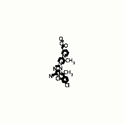 C[C@@H]1CN(c2cnc3c(C#N)nn([C@H](C)c4ccc(Cl)cc4Cl)c3n2)CC[C@@H]1N1CCC[C@@H](CC(=O)OC=O)C1